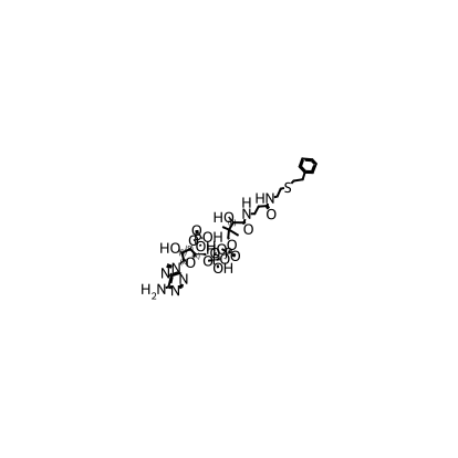 CC(C)(COP(=O)(O)OP(=O)(O)OC[C@H]1O[C@@H](n2cnc3c(N)ncnc32)[C@H](O)[C@@H]1OP(=O)(O)O)[C@@H](O)C(=O)NCCC(=O)NCCSCCc1ccccc1